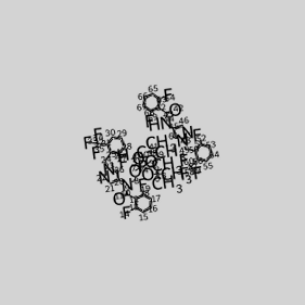 CC(C)(C)OP(=O)(OCN(C(=O)c1c(F)cccc1F)c1cnn(Cc2c(F)cccc2C(F)(F)F)c1)OC(C)(C)C.O=C(Nc1cnn(Cc2c(F)cccc2C(F)(F)F)c1)c1c(F)cccc1F